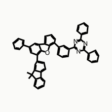 CC1(C)c2ccccc2-c2ccc(-c3cc(-c4ccccc4)cc4c3oc3c(-c5cccc(-c6nc(-c7ccccc7)nc(-c7ccccc7)n6)c5)cccc34)cc21